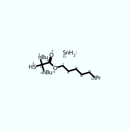 CCCCC(S)(CCCC)C(=O)OCCCCCC(C)C.[SnH2]